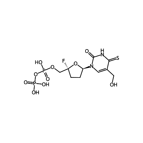 O=c1[nH]c(=S)c(CO)cn1[C@H]1CC[C@@](F)(COP(=O)(O)OP(=O)(O)O)O1